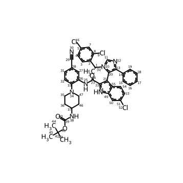 C[C@@H](c1ccc(Cl)cc1Cl)n1cnc(-c2ccccc2)c1-c1c(C(=O)Nc2cc(C#N)ccc2N2CCC(NC(=O)OC(C)(C)C)CC2)[nH]c2cc(Cl)ccc12